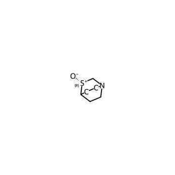 [O-][S@+]1CN2CCC1CC2